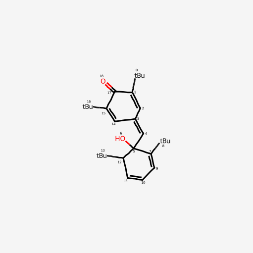 CC(C)(C)C1=CC(=CC2(O)C(C(C)(C)C)=CC=CC2C(C)(C)C)C=C(C(C)(C)C)C1=O